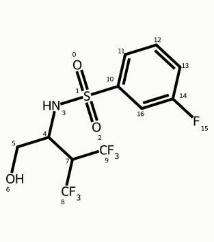 O=S(=O)(NC(CO)C(C(F)(F)F)C(F)(F)F)c1cccc(F)c1